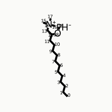 CCCCCCCCCCCCC(C[N+](C)(C)C)O[PH-]